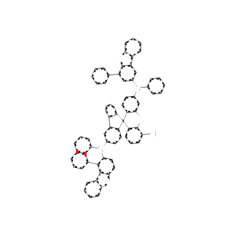 Clc1cccc2c1Sc1cc(N(c3ccccc3)c3cc(-c4ccccc4)c4oc5ccccc5c4c3)ccc1C21c2ccccc2-c2cc(N(c3ccccc3)c3ccc4sc5ccccc5c4c3-c3ccccc3)ccc21